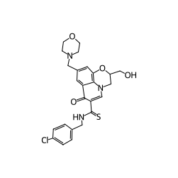 O=c1c(C(=S)NCc2ccc(Cl)cc2)cn2c3c(cc(CN4CCOCC4)cc13)OC(CO)C2